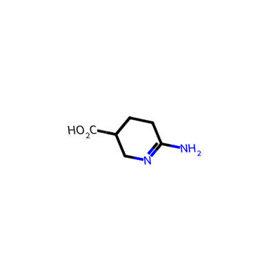 NC1=NCC(C(=O)O)CC1